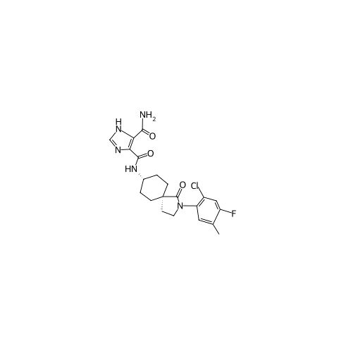 Cc1cc(N2CC[C@]3(CC[C@@H](NC(=O)c4nc[nH]c4C(N)=O)CC3)C2=O)c(Cl)cc1F